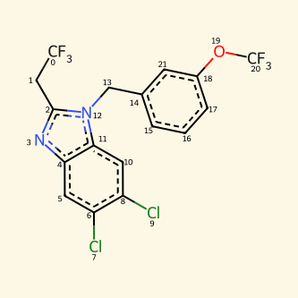 FC(F)(F)Cc1nc2cc(Cl)c(Cl)cc2n1Cc1cccc(OC(F)(F)F)c1